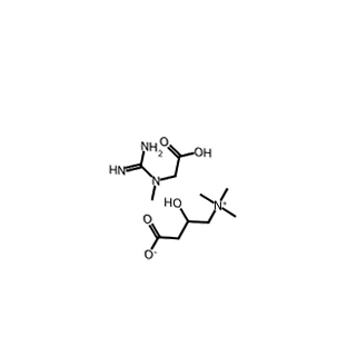 CN(CC(=O)O)C(=N)N.C[N+](C)(C)CC(O)CC(=O)[O-]